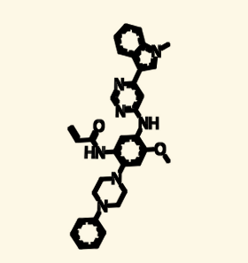 C=CC(=O)Nc1cc(Nc2cc(-c3cn(C)c4ccccc34)ncn2)c(OC)cc1N1CCN(c2ccccc2)CC1